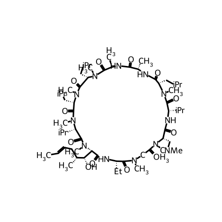 C/C=C/C[C@@H](C)[C@@H](O)[C@H]1C(=O)N[C@@H](CC)C(=O)N(C)CC(=O)N(C)[C@@H](CNC)C(=O)N[C@@H](C(C)C)C(=O)N(C)[C@@H](CC(C)C)C(=O)N[C@@H](C)C(=O)N[C@H](C)C(=O)N(C)[C@@H](CC(C)C)C(=O)N(C)[C@@H](CC(C)C)C(=O)N(C)[C@@H](C(C)C)C(=O)N1C